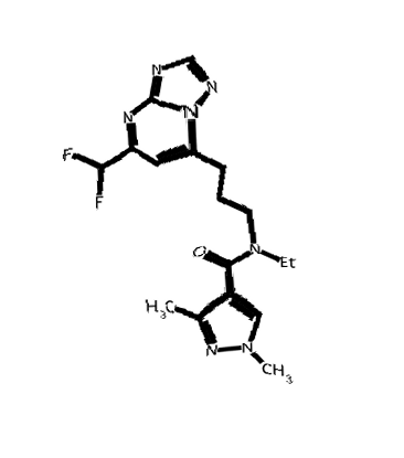 CCN(CCCc1cc(C(F)F)nc2ncnn12)C(=O)c1cn(C)nc1C